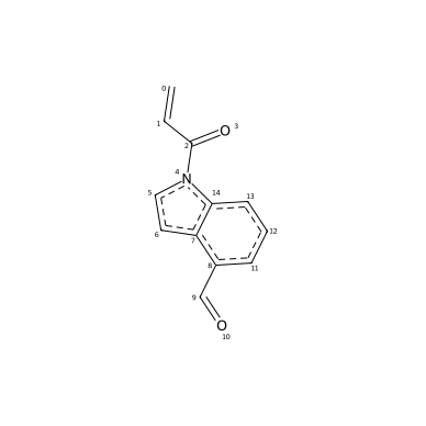 C=CC(=O)n1ccc2c(C=O)cccc21